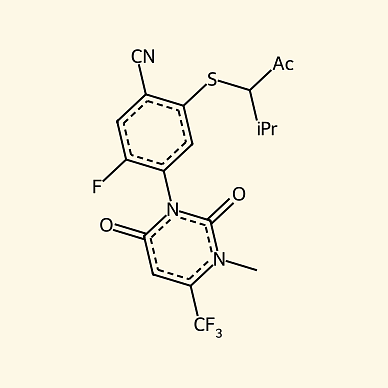 CC(=O)C(Sc1cc(-n2c(=O)cc(C(F)(F)F)n(C)c2=O)c(F)cc1C#N)C(C)C